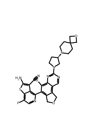 N#Cc1c(N)sc2c(F)cnc(-c3c4c(c5cnc(N6CC[C@@H](N7CCC8(CC7)COC8)C6)nc5c3F)COC4)c12